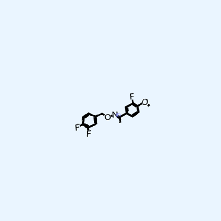 COc1ccc(/C(C)=N/OCc2ccc(F)c(F)c2)cc1F